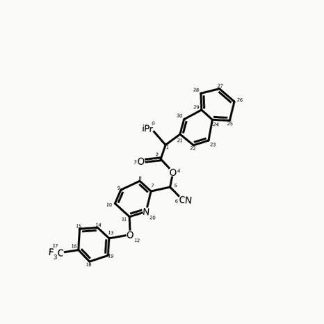 CC(C)C(C(=O)OC(C#N)c1cccc(Oc2ccc(C(F)(F)F)cc2)n1)c1ccc2ccccc2c1